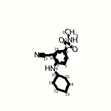 CNS(=O)(=O)c1ccc(NC2CCCCC2)c(C#N)c1